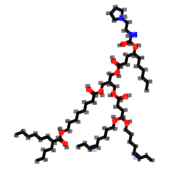 CC/C=C\CCCCOC(CCC(=O)OCC(COC(=O)CCCCCCCOC(=O)C(CCCC)CCCCCC)COC(=O)CCC(CCCCCC)OC(=O)NCCN1CCCC1)OCCCC/C=C\CC